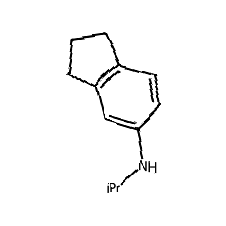 CC(C)Nc1ccc2c(c1)CCC2